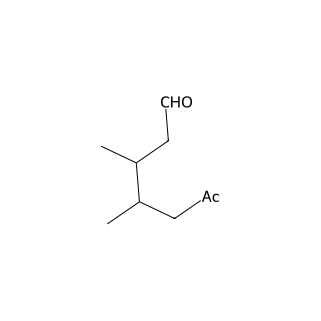 CC(=O)CC(C)C(C)CC=O